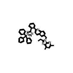 CCc1nc2c(C)cc(C)nc2n1Cc1ccc2nc(-c3ccccc3-c3nnn(C(c4ccccc4)(c4ccccc4)c4ccccc4)n3)ccc2c1